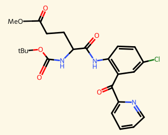 COC(=O)CCC(NC(=O)OC(C)(C)C)C(=O)Nc1ccc(Cl)cc1C(=O)c1ccccn1